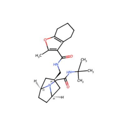 Cc1oc2c(c1C(=O)NC[C@H]1C[C@H]3CC[C@@H](C1)N3CC(=O)NC(C)(C)C)CCCC2